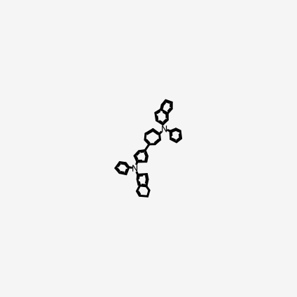 C1=CC=C(c2ccc(N(c3ccccc3)c3ccc4c(c3)C=CCC4)cc2)C=CC=1N(c1ccccc1)c1ccc2ccccc2c1